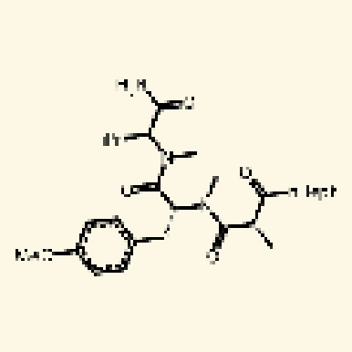 CCCCCCCC(=O)[C@@H](C)C(=O)N(C)[C@H](Cc1ccc(OC)cc1)C(=O)N(C)[C@H](C(N)=O)C(C)C